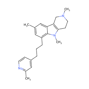 Cc1cc(CCCc2ccnc(C)c2)c2c(c1)c1c(n2C)CCN(C)C1